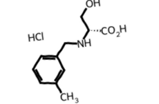 Cc1cccc(CN[C@H](CO)C(=O)O)c1.Cl